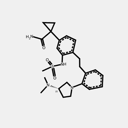 CN(C)[C@H]1CCN(c2ccccc2CCc2ccc(C3(C(N)=O)CC3)cc2NS(C)(=O)=O)C1